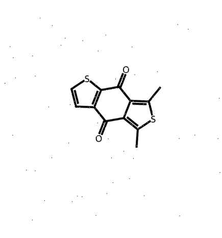 Cc1sc(C)c2c1C(=O)c1ccsc1C2=O